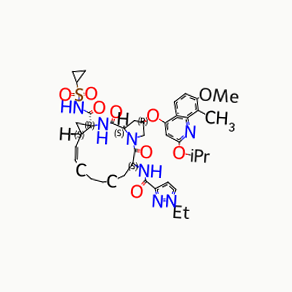 CCn1ccc(C(=O)N[C@H]2CCCCCC=C[C@@H]3C[C@@]3(C(=O)NS(=O)(=O)C3CC3)NC(=O)[C@@H]3C[C@@H](Oc4cc(OC(C)C)nc5c(C)c(OC)ccc45)CN3C2=O)n1